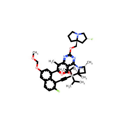 COCOc1cc(-c2oc(=O)c3c(N4CC[C@H]4C)nc(OC[C@@]45CCCN4C[C@H](F)C5)nc3c2C)c2c(C#C[Si](C(C)C)(C(C)C)C(C)C)c(F)ccc2c1